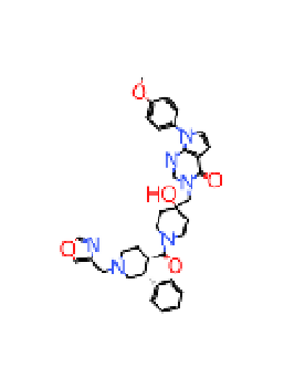 COc1ccc(-n2ccc3c(=O)n(CC4(O)CCN(C(=O)[C@@H]5CCN(Cc6cocn6)C[C@H]5c5ccccc5)CC4)cnc32)cc1